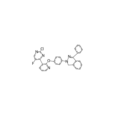 Fc1cnc(Cl)nc1-c1cccnc1Oc1ccc(N2Cc3ccccc3C(c3ccccc3)=N2)cc1